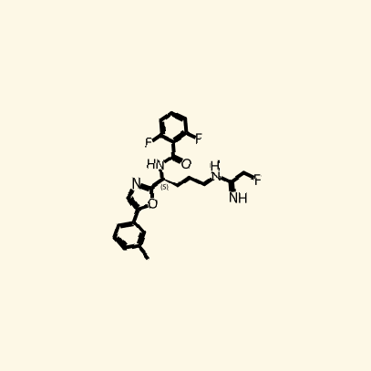 Cc1cccc(-c2cnc([C@H](CCCNC(=N)CF)NC(=O)c3c(F)cccc3F)o2)c1